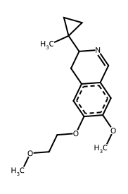 COCCOc1cc2c(cc1OC)C=NC(C1(C)CC1)C2